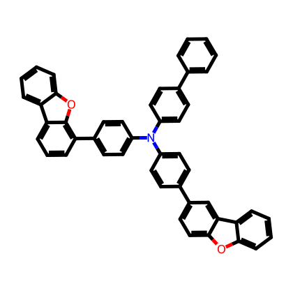 c1ccc(-c2ccc(N(c3ccc(-c4ccc5oc6ccccc6c5c4)cc3)c3ccc(-c4cccc5c4oc4ccccc45)cc3)cc2)cc1